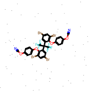 N#COc1ccc(Oc2c(Br)cc(Br)cc2C(c2cc(Br)cc(Br)c2Oc2ccc(OC#N)cc2)(C(F)(F)F)C(F)(F)F)cc1